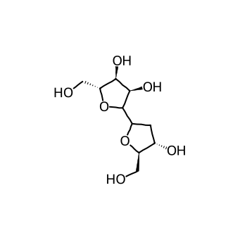 OC[C@H]1OC(C2C[C@H](O)[C@@H](CO)O2)[C@H](O)[C@@H]1O